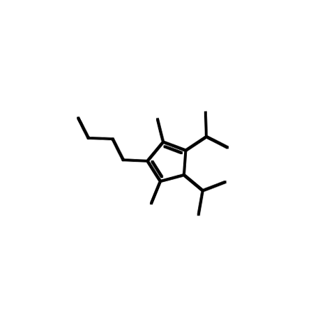 CCCCC1=C(C)C(C(C)C)C(C(C)C)=C1C